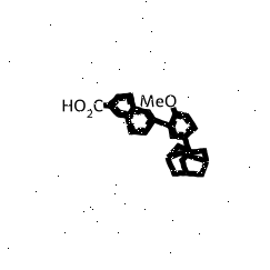 COc1ccc(C23CC4CC(CC(C4)C2)C3)cc1-c1ccc2cc(C(=O)O)ccc2c1